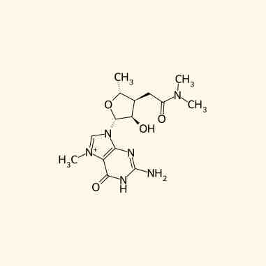 C[C@H]1O[C@@H](n2c[n+](C)c3c(=O)[nH]c(N)nc32)[C@H](O)[C@@H]1CC(=O)N(C)C